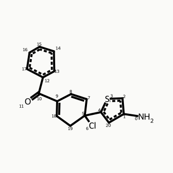 Nc1csc(C2(Cl)C=CC(C(=O)c3ccccc3)=CC2)c1